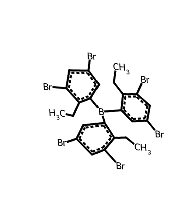 CCc1c(Br)cc(Br)cc1B(c1cc(Br)cc(Br)c1CC)c1cc(Br)cc(Br)c1CC